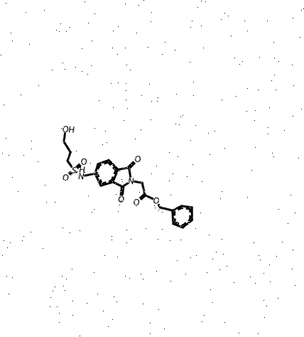 O=C(CN1C(=O)c2ccc(NS(=O)(=O)CCCO)cc2C1=O)OCc1ccccc1